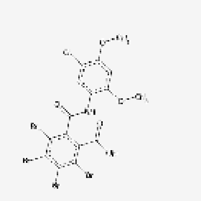 COc1cc(OC)c(NC(=O)c2c(Br)c(Br)c(Br)c(Br)c2C(=O)O)cc1Cl